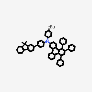 CC(C)(C)c1ccc(N(c2ccc(-c3ccc4c(c3)C(C)(C)C3=C4C=CCC3)cc2)c2ccc3c(c2)c2ccccc2c2c(-c4ccccc4)cc(-c4ccccc4)c(-c4ccccc4)c32)cc1